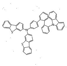 c1ccc(-c2ccccc2-n2c3ccccc3c3ccccc32)c(-c2ccc(N(c3ccc4c(c3)sc3ccccc34)c3ccc4c(c3)sc3ccccc34)cc2)c1